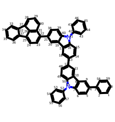 c1ccc(-c2ccc3c(c2)c2cc(-c4ccc5c(c4)c4cc(-c6ccc7c8c(cccc68)-c6ccccc6-7)ccc4n5-c4ccccc4)ccc2n3-c2ccccc2)cc1